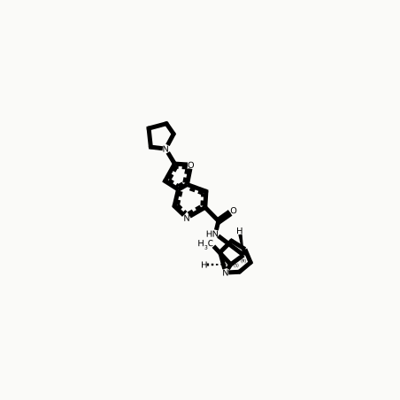 C[C@H]1[C@H](NC(=O)c2cc3oc(N4CCCC4)cc3cn2)C2CCN1CC2